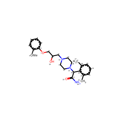 COc1ccccc1OCC(O)CN1CCN(C(C(N)=O)c2c(C)cccc2C)CC1